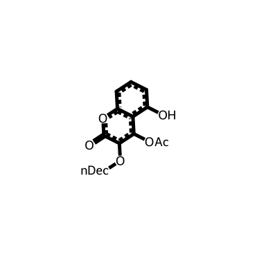 CCCCCCCCCCOc1c(OC(C)=O)c2c(O)cccc2oc1=O